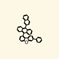 c1ccc(-c2ccc3c(c2)oc2cccc(-c4c5ccccc5c(-c5ccc6ccccc6c5)c5ccccc45)c23)cc1